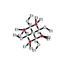 CCO[PH](OCC)(OCC)[Pd]([PH](OCC)(OCC)OCC)([PH](OCC)(OCC)OCC)[PH](OCC)(OCC)OCC